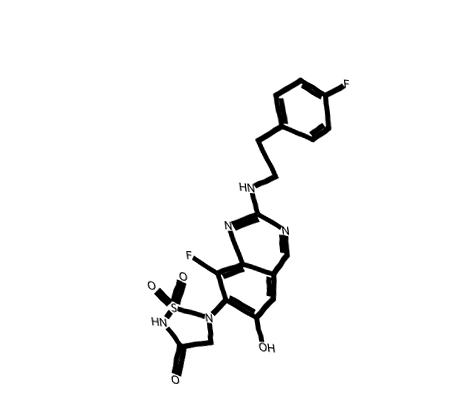 O=C1CN(c2c(O)cc3cnc(NCCc4ccc(F)cc4)nc3c2F)S(=O)(=O)N1